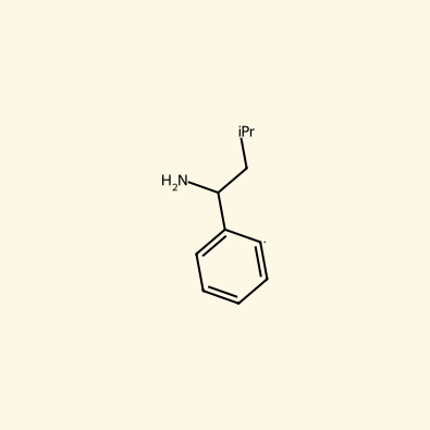 CC(C)CC(N)c1[c]cccc1